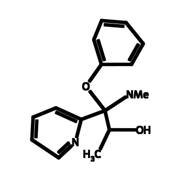 CNC(Oc1ccccc1)(c1ccccn1)C(C)O